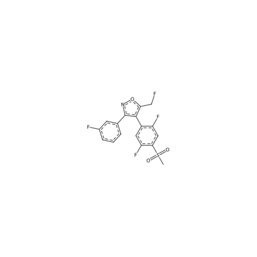 CS(=O)(=O)c1cc(F)c(-c2c(-c3cccc(F)c3)noc2CF)cc1F